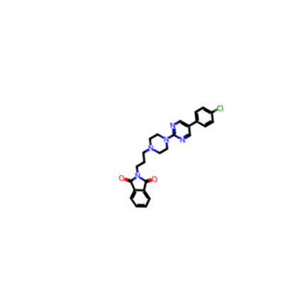 O=C1c2ccccc2C(=O)N1CCCN1CCN(c2ncc(-c3ccc(Cl)cc3)cn2)CC1